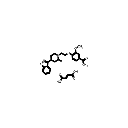 COc1cc(C(C)=O)ccc1OCCN1CCC(c2noc3ccccc23)CC1I.O=C(O)C=CC(=O)O